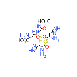 NC(Cc1c[nH]cn1)C(=O)SSC(=O)C(N)Cc1c[nH]cn1.N[C@@H](CCC(=O)N[C@@H](CS)C(=O)NCC(=O)O)C(=O)O